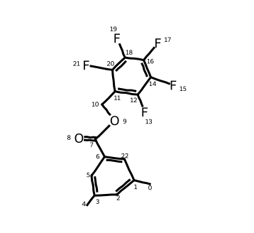 Cc1cc(C)cc(C(=O)OCc2c(F)c(F)c(F)c(F)c2F)c1